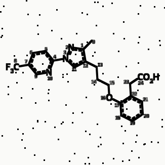 Cc1nn(-c2ccc(C(F)(F)F)cn2)cc1CCCOc1ccccc1CC(=O)O